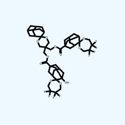 O=C(OCC1(COC(=O)C23CC4CC(C2)C2(OCC(F)(F)C(F)(F)CO2)C(O)(C4)C3)COC2(OC1)C1CC3CC(C1)CC2C3)C12CC3CC(C1)C1(OCC(F)(F)C(F)(F)CO1)C(C3)C2